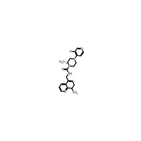 CC1CC=C(CNC(=O)N2CCN(c3ccncc3F)C[C@H]2C)c2cccnc21